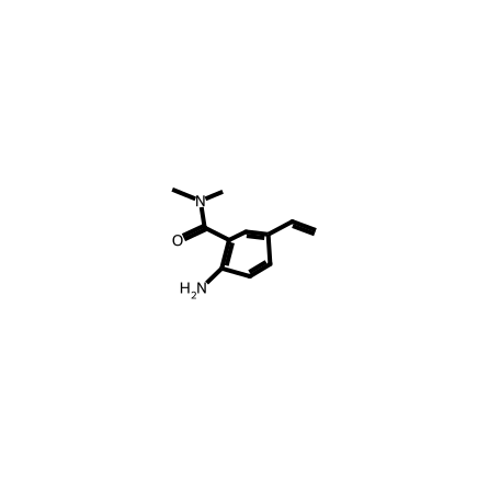 C=Cc1ccc(N)c(C(=O)N(C)C)c1